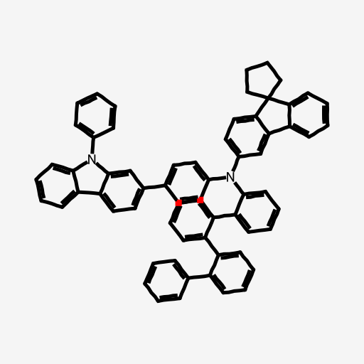 c1ccc(-c2ccccc2-c2ccccc2-c2ccccc2N(c2ccc(-c3ccc4c5ccccc5n(-c5ccccc5)c4c3)cc2)c2ccc3c(c2)-c2ccccc2C32CCCC2)cc1